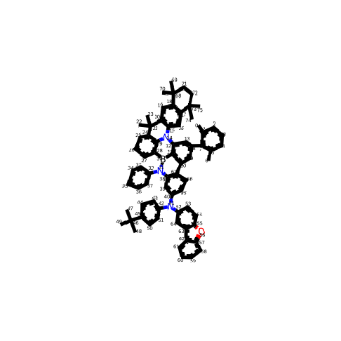 Cc1cccc(C)c1-c1cc2c3c(c1)N1c4cc5c(cc4C(C)(C)c4cccc(c41)B3N(c1ccccc1)c1cc(N(c3ccc(C(C)(C)C)cc3)c3ccc4oc6ccccc6c4c3)ccc1-2)C(C)(C)CCC5(C)C